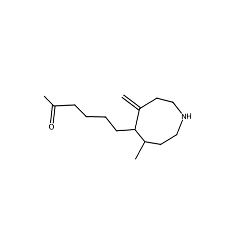 C=C1CCNCCC(C)C1CCCCC(C)=O